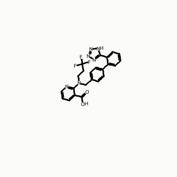 O=C(O)c1cccnc1N(CCC(F)(F)F)Cc1ccc(-c2ccccc2-c2nnn[nH]2)cc1